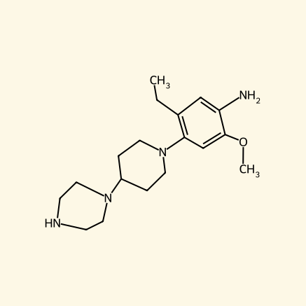 CCc1cc(N)c(OC)cc1N1CCC(N2CCNCC2)CC1